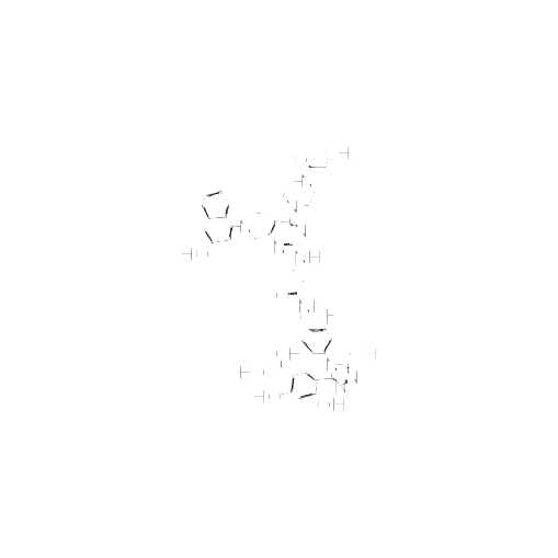 CCC(=O)N1CCN(c2nc(NCCC(=O)NCc3ccc(-n4c(O)nnc4-c4cc(C(C)C)c(O)cc4O)cc3F)nc3c2CCN(c2cc(O)cc4ccccc24)C3)CC1